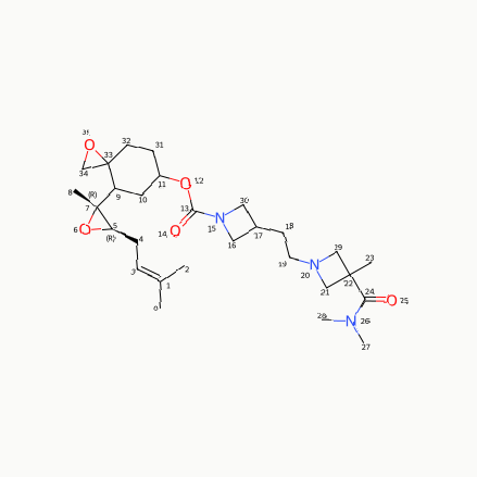 CC(C)=CC[C@H]1O[C@]1(C)C1CC(OC(=O)N2CC(CCN3CC(C)(C(=O)N(C)C)C3)C2)CCC12CO2